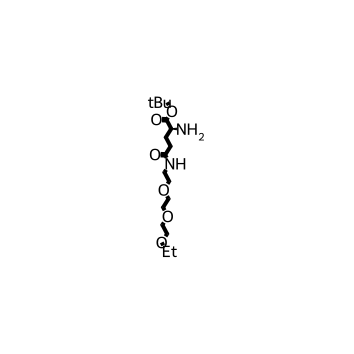 CCOCCOCCOCCNC(=O)CC[C@H](N)C(=O)OC(C)(C)C